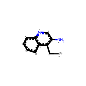 CC(C)Cc1c(N)cnc2ccccc12